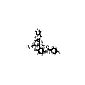 Cc1cnnn1C[C@]12C[C@H]1[C@@](CF)(c1cc(NC(=O)c3ccc(Cl)cn3)ccc1F)N=C(N)S2